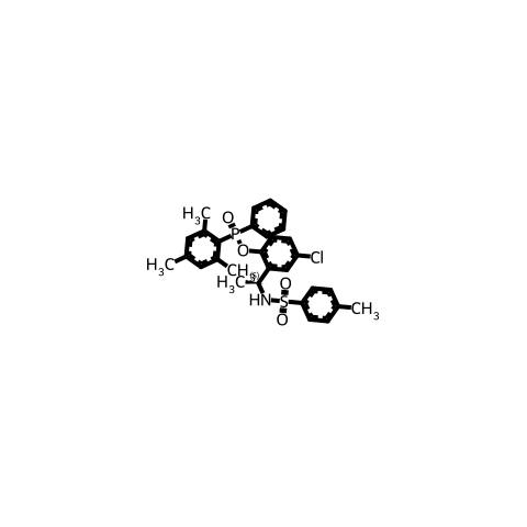 Cc1ccc(S(=O)(=O)N[C@@H](C)c2cc(Cl)ccc2OP(=O)(c2ccccc2)c2c(C)cc(C)cc2C)cc1